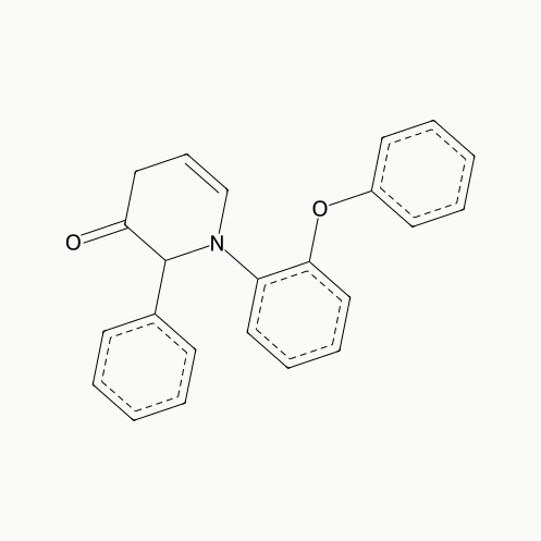 O=C1CC=CN(c2ccccc2Oc2ccccc2)C1c1ccccc1